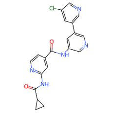 O=C(Nc1cncc(-c2cncc(Cl)c2)c1)c1ccnc(NC(=O)C2CC2)c1